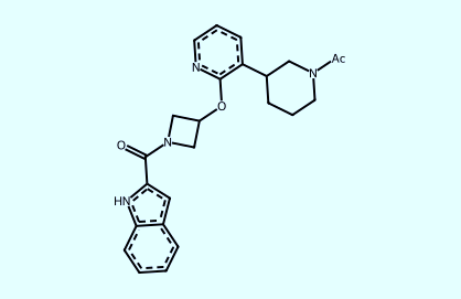 CC(=O)N1CCCC(c2cccnc2OC2CN(C(=O)c3cc4ccccc4[nH]3)C2)C1